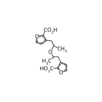 C[C](Cc1ccoc1C(=O)O)O[C](C)Cc1ccoc1C(=O)O